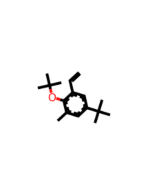 C=Cc1cc(C(C)(C)C)cc(C)c1OC(C)(C)C